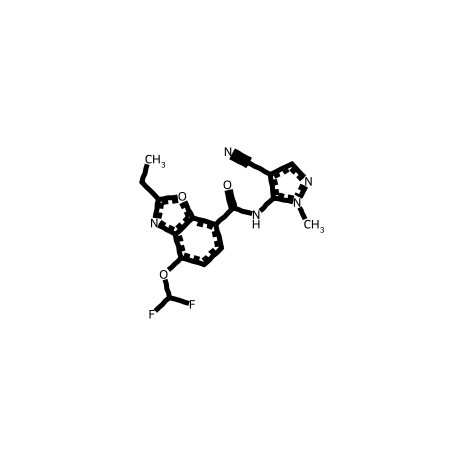 CCc1nc2c(OC(F)F)ccc(C(=O)Nc3c(C#N)cnn3C)c2o1